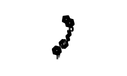 Fc1cccc(N2CCN(CCCCOc3ccc4c(c3)CCC4)CC2)c1